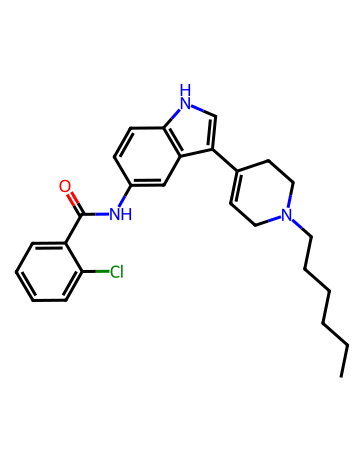 CCCCCCN1CC=C(c2c[nH]c3ccc(NC(=O)c4ccccc4Cl)cc23)CC1